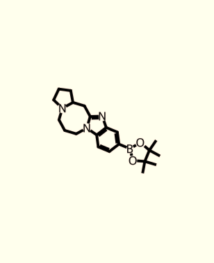 CC1(C)OB(c2ccc3c(c2)nc2n3CCCN3CCCC3C2)OC1(C)C